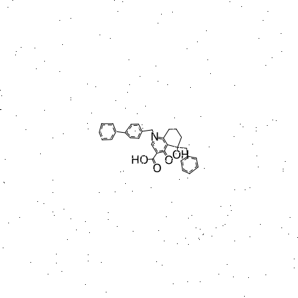 O=C(O)c1cn(Cc2ccc(-c3ccccc3)cc2)c2c(c1=O)C(O)(Cc1ccccc1)CCC2